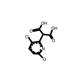 O=C(O)C(C(=O)O)c1nc(Cl)ccc1Cl